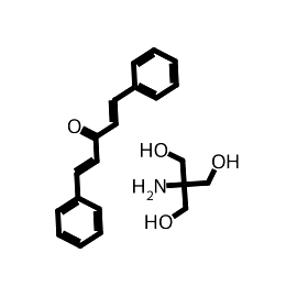 NC(CO)(CO)CO.O=C(/C=C/c1ccccc1)/C=C/c1ccccc1